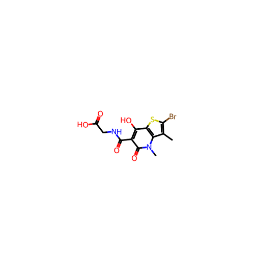 Cc1c(Br)sc2c(O)c(C(=O)NCC(=O)O)c(=O)n(C)c12